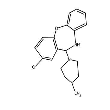 CN1CCN(C2Nc3ccccc3Oc3ccc(Cl)cc32)CC1